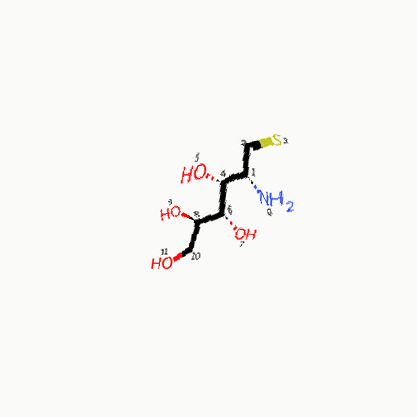 N[C@@H](C=S)[C@@H](O)[C@H](O)[C@H](O)CO